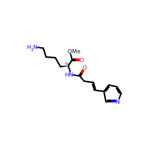 COC(=O)[C@H](CCCCN)NC(=O)CC=Cc1cccnc1